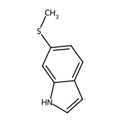 CSc1ccc2[c]c[nH]c2c1